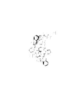 CC[C@H](C)[C@H](NC(=O)[C@@H]1CCCN1C(=O)[C@@H](N)Cc1ccccc1)C(=O)N[C@@H](Cc1ccccc1)C(=O)N1CCC[C@H]1C(=O)N1CCC[C@H]1C(=O)N[C@@H](CC(C)C)C(=O)N[C@H](C(=O)O)C(C)C